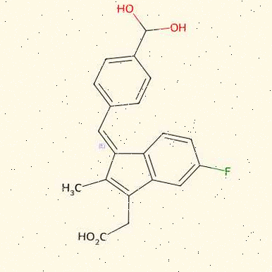 CC1=C(CC(=O)O)c2cc(F)ccc2/C1=C\c1ccc(C(O)O)cc1